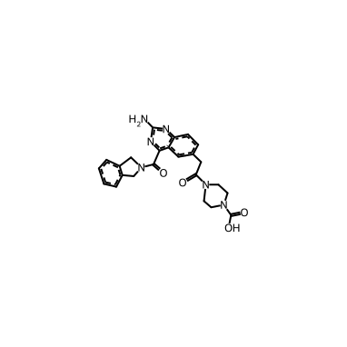 Nc1nc(C(=O)N2Cc3ccccc3C2)c2cc(CC(=O)N3CCN(C(=O)O)CC3)ccc2n1